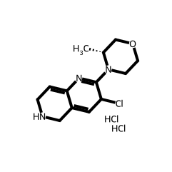 C[C@@H]1COCCN1C1=NC2=CCNCC2=CC1Cl.Cl.Cl